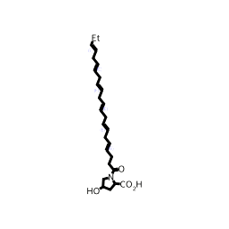 CC/C=C/C/C=C/C/C=C/C/C=C/C/C=C/C/C=C/CCC(=O)N1CC(O)CC1C(=O)O